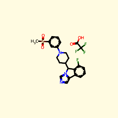 CS(=O)(=O)c1cccc(N2CCC(C3c4c(F)cccc4-c4cncn43)CC2)c1.O=C(O)C(F)(F)F